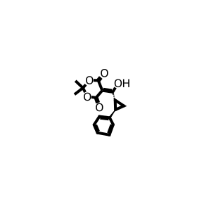 CC1(C)OC(=O)C(=C(O)[C@@H]2C[C@H]2c2ccccc2)C(=O)O1